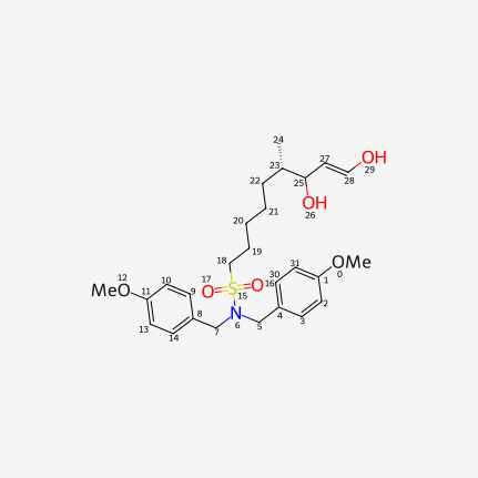 COc1ccc(CN(Cc2ccc(OC)cc2)S(=O)(=O)CCCCC[C@H](C)C(O)C=CO)cc1